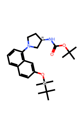 CC(C)(C)OC(=O)N[C@@H]1CCN(c2cccc3ccc(O[Si](C)(C)C(C)(C)C)cc23)C1